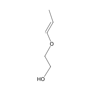 CC=[C]OCCO